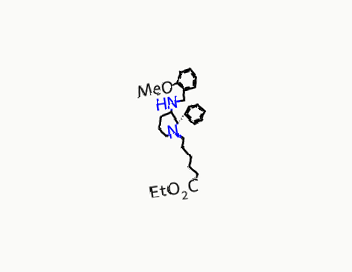 CCOC(=O)CCCCCN1CCCC(NCc2ccccc2OC)[C@@H]1c1ccccc1